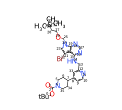 CC(C)(C)OC(=O)N1CCC(c2ccnc(CNc3ncnc4c3c(Br)cn4COCC[Si](C)(C)C)c2)CC1